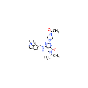 CC(=O)N1CCN(c2nc(NCc3ccc4ccn(C)c4c3)c3c(n2)C(=O)N(C(C)C)C3)CC1